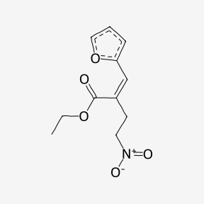 CCOC(=O)C(=Cc1ccco1)CC[N+](=O)[O-]